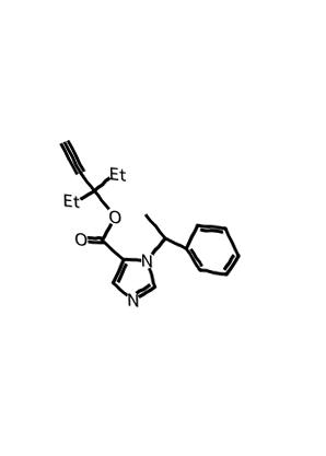 C#CC(CC)(CC)OC(=O)c1cncn1C(C)c1ccccc1